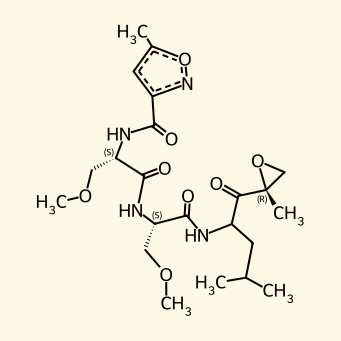 COC[C@H](NC(=O)c1cc(C)on1)C(=O)N[C@@H](COC)C(=O)NC(CC(C)C)C(=O)[C@@]1(C)CO1